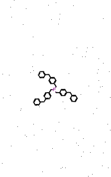 c1ccc(Cc2ccc(CP(Cc3ccc(Cc4ccccc4)cc3)Cc3ccc(Cc4ccccc4)cc3)cc2)cc1